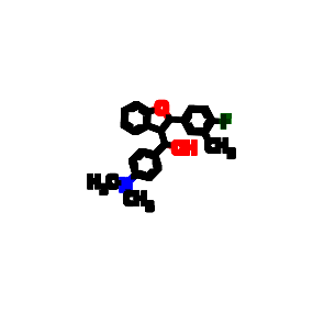 Cc1cc(C2Oc3ccccc3C2C(O)c2ccc(N(C)C)cc2)ccc1F